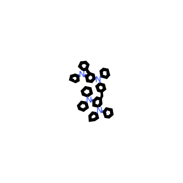 c1ccc(N(c2ccccc2)c2cc(Cc3ccc(N(c4ccccc4)c4ccc5c(c4)c4ccccc4n5-c4ccccc4)cc3)cc(N(c3ccccc3)c3ccccc3)c2)cc1